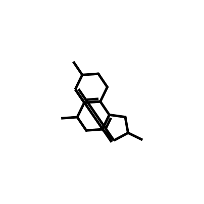 CC1Cc2c3c1c1c(c2CCC1C)C(C)C3